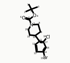 CC(C)(C)OC(=O)N1CCC(c2ccc(Br)cc2Cl)CC1